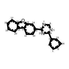 c1ccc(-c2ncnc(-c3ccc4c(c3)oc3ccccc34)n2)cc1